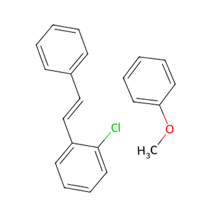 COc1ccccc1.Clc1ccccc1C=Cc1ccccc1